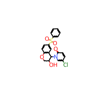 O=c1ccc(Cl)cn1C1c2cc(S(=O)(=O)c3ccccc3)ccc2OCC1O